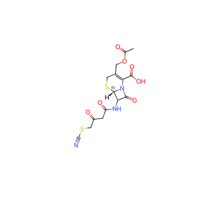 CC(=O)OCC1=C(C(=O)O)N2C(=O)C(NC(=O)CC(=O)CSC#N)[C@@H]2SC1